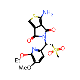 CCOc1nc([C@@H](CS(C)(=O)=O)N2C(=O)c3csc(N)c3C2=O)ccc1OC